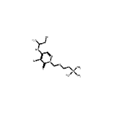 CC(CO)Nc1cnn(COCC[Si](C)(C)C)c(=O)c1Br